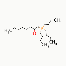 CCCCCCC(=O)C=P(CCCC)(CCCC)CCCC